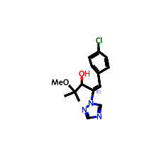 COC(C)(C)C(O)/C(=C\c1ccc(Cl)cc1)n1cncn1